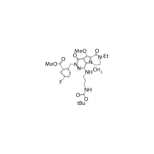 CCN1C[C@H](C)n2c(c(OC)c3c(=O)n(Cc4ccc(F)cc4C(=O)OC)nc(NCCCNC(=O)OC(C)(C)C)c32)C1=O